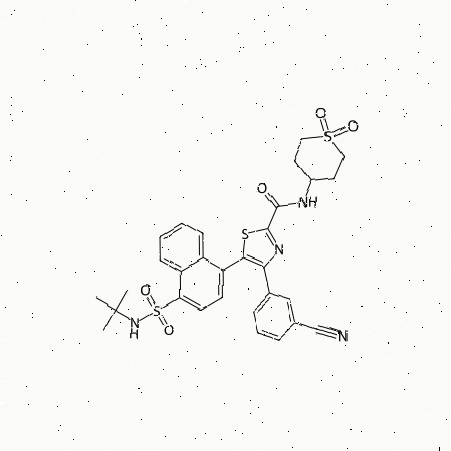 CC(C)(C)NS(=O)(=O)c1ccc(-c2sc(C(=O)NC3CCS(=O)(=O)CC3)nc2-c2cccc(C#N)c2)c2ccccc12